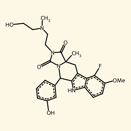 COc1ccc2[nH]c3c(c2c1F)CC1(C)C(=O)N(CCN(C)CCO)C(=O)N1C3c1cccc(O)c1